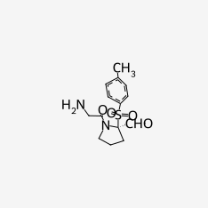 Cc1ccc(S(=O)(=O)[C@@]2([C]=O)CCCN2C(=O)CN)cc1